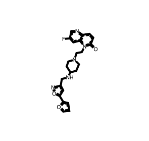 O=c1ccc2ncc(F)cc2n1CCN1CCC(NCc2cc(-c3ccco3)on2)CC1